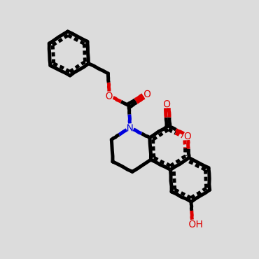 O=C(OCc1ccccc1)N1CCCc2c1c(=O)oc1ccc(O)cc21